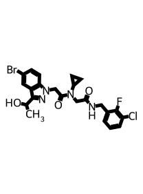 CC(O)c1nn(CC(=O)N(CC(=O)NCc2cccc(Cl)c2F)C2CC2)c2ccc(Br)cc12